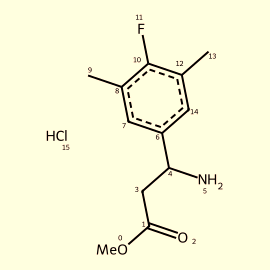 COC(=O)CC(N)c1cc(C)c(F)c(C)c1.Cl